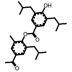 CC(=O)c1cc(C)c(OC(=O)c2cc(CC(C)C)c(O)c(CC(C)C)c2)c(CC(C)C)c1